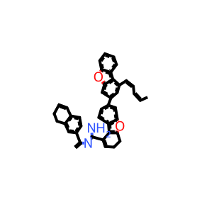 C=C(/N=C(\N)C1=CCCc2oc3cc(-c4cc(/C=C\C=C/C)c5c(c4)oc4ccccc45)ccc3c21)c1ccc2c(c1)CCC=C2